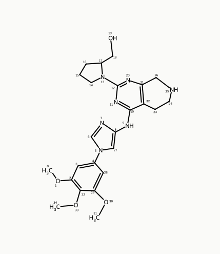 COc1cc(-n2cnc(Nc3nc(N4CCCC4CO)nc4c3CCNC4)c2)cc(OC)c1OC